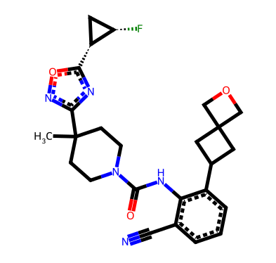 CC1(c2noc([C@@H]3C[C@@H]3F)n2)CCN(C(=O)Nc2c(C#N)cccc2C2CC3(COC3)C2)CC1